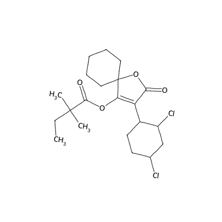 CCC(C)(C)C(=O)OC1=C(C2CCC(Cl)CC2Cl)C(=O)OC12CCCCC2